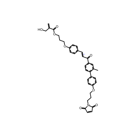 C=C(CO)C(=O)OCCCOc1ccc(/C=C/C(=O)c2ccc(-c3ccc(OCCCN4C(=O)C=CC4=O)cc3)c(C)c2)cc1